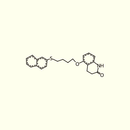 O=C1CCc2c(cccc2OCCCCSc2ccc3ccccc3c2)N1